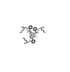 CCCCC(CC)COc1ccccc1C(=O)N=NC([SiH3])(N=NC(=O)c1ccccc1OCC(CC)CCCC)N=NC(=O)c1ccccc1OCC(CC)CCCC